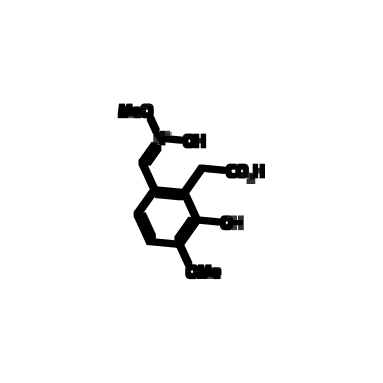 COc1ccc(C=[N+](O)OC)c(CC(=O)O)c1O